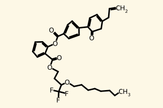 C=CCC1=CC=C(c2ccc(C(=O)Oc3ccccc3C(=O)OCCC(OCCCCCCCC)C(F)(F)F)cc2)C(=O)C1